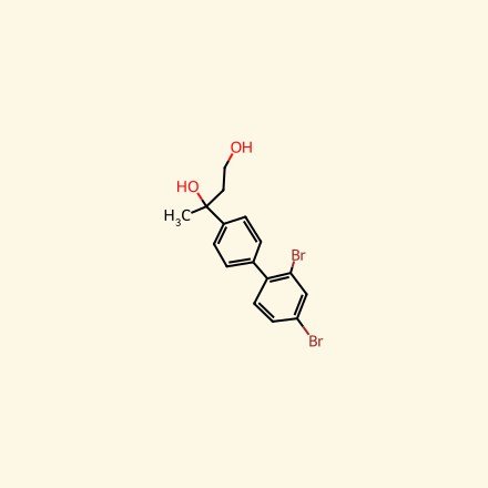 CC(O)(CCO)c1ccc(-c2ccc(Br)cc2Br)cc1